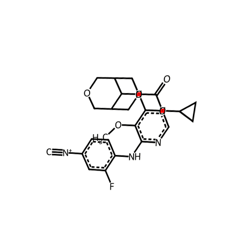 [C-]#[N+]c1ccc(Nc2ncnc(OC3C4COCC3CN(C(=O)OC3CC3)C4)c2OC)c(F)c1